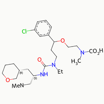 CCN(CCC(OCCN(C)C(=O)O)c1cccc(Cl)c1)C(=O)N[C@H](CNC)C[C@H]1CCCOC1